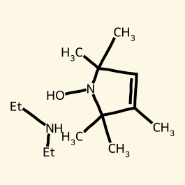 CC1=CC(C)(C)N(O)C1(C)C.CCNCC